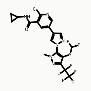 Cn1nc(C(F)(F)C(F)(F)F)c(SC(F)F)c1-n1cc(-c2cnc(Cl)c(C(=O)NC3CC3)c2)cn1